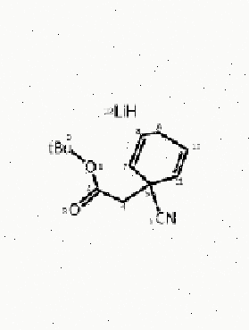 CC(C)(C)OC(=O)CC1(C#N)C=CCC=C1.[LiH]